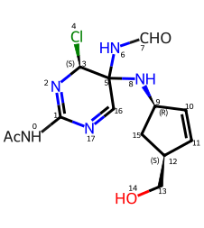 CC(=O)NC1=N[C@@H](Cl)C(NC=O)(N[C@H]2C=C[C@@H](CO)C2)C=N1